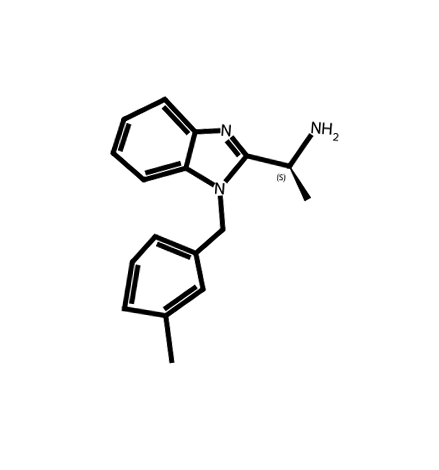 Cc1cccc(Cn2c([C@H](C)N)nc3ccccc32)c1